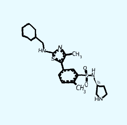 Cc1ccc(-c2sc(NCC3CCCCC3)nc2C)cc1S(=O)(=O)N[C@H]1CCNC1